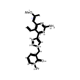 C=Cc1c(/C=C(\C)OC)nc(N)nc1-c1cn(Cc2cccn(C(C)C)c2=O)nn1